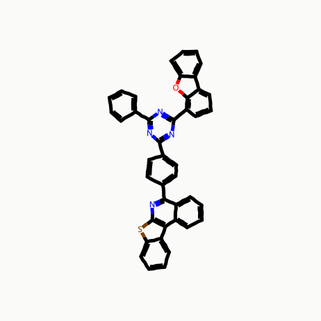 c1ccc(-c2nc(-c3ccc(-c4nc5sc6ccccc6c5c5ccccc45)cc3)nc(-c3cccc4c3oc3ccccc34)n2)cc1